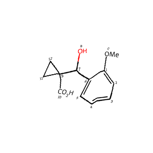 COc1ccccc1C(O)C1(C(=O)O)CC1